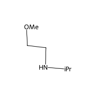 [CH2]C(C)NCCOC